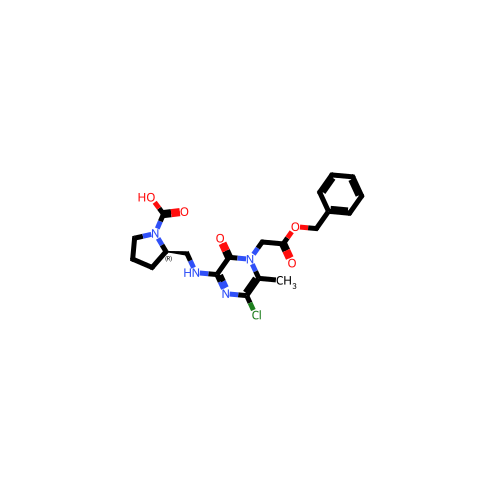 Cc1c(Cl)nc(NC[C@H]2CCCN2C(=O)O)c(=O)n1CC(=O)OCc1ccccc1